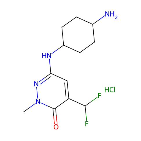 Cl.Cn1nc(NC2CCC(N)CC2)cc(C(F)F)c1=O